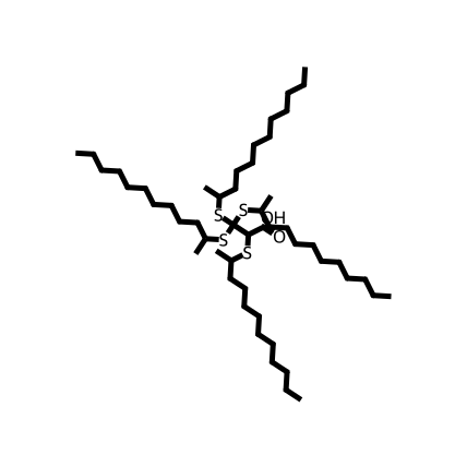 CCCCCCCCCCC(C)SC(C(=O)O)C(SC(C)CCCCCCCCCC)(SC(C)CCCCCCCCCC)SC(C)CCCCCCCCCC